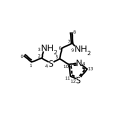 C=CC(N)SC(CC(=C)N)c1cscn1